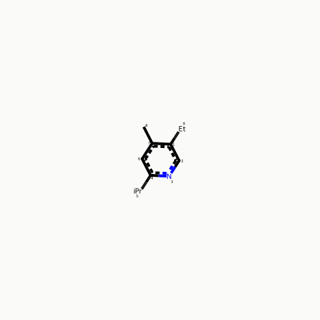 CCc1cnc(C(C)C)cc1C